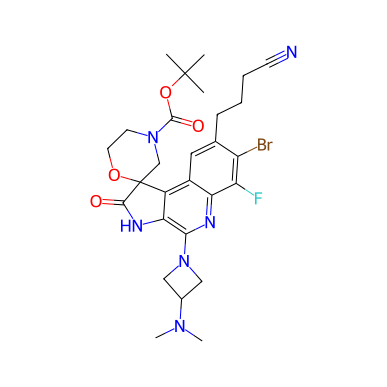 CN(C)C1CN(c2nc3c(F)c(Br)c(CCCC#N)cc3c3c2NC(=O)C32CN(C(=O)OC(C)(C)C)CCO2)C1